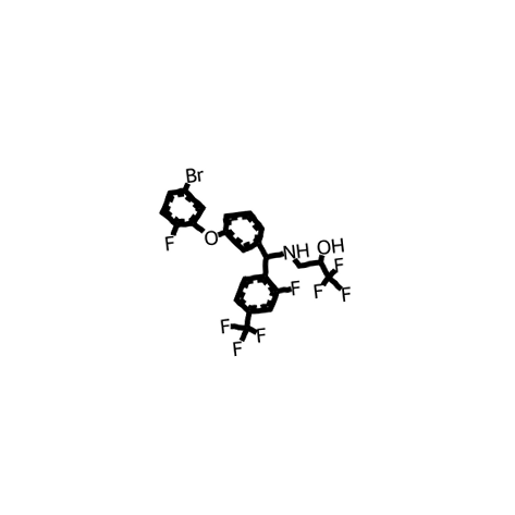 OC(CNC(c1cccc(Oc2cc(Br)ccc2F)c1)c1ccc(C(F)(F)F)cc1F)C(F)(F)F